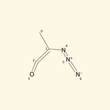 CC(=C=O)N=[N+]=[N-]